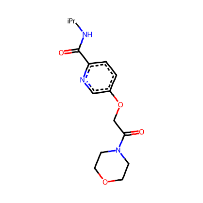 CC(C)NC(=O)c1ccc(OCC(=O)N2CCOCC2)cn1